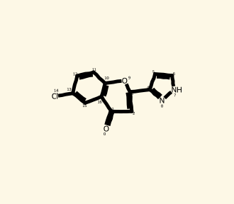 O=c1cc(-c2cc[nH]n2)oc2ccc(Cl)cc12